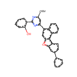 COc1cc(-c2cc3oc4cc(-c5ccccc5)ccc4c3c3ccccc23)nc(-c2ccccc2O)n1